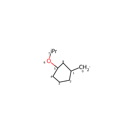 [CH2]C1CCCC(OC(C)C)C1